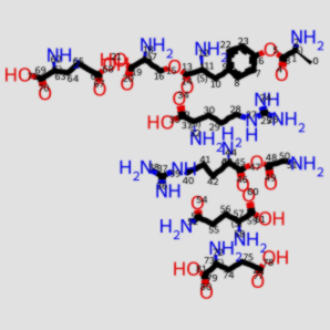 C[C@H](N)C(=O)Oc1ccc(C[C@H](N)C(=O)OC[C@H](N)C(=O)O)cc1.N=C(N)NCCC[C@H](N)C(=O)O.N=C(N)NCCC[C@H](N)C(=O)OC(=O)CN.NC(=O)CC[C@H](N)C(=O)O.N[C@@H](CCC(=O)O)C(=O)O.N[C@@H](CCC(=O)O)C(=O)O